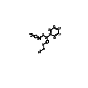 S=C=NCC(OCCI)c1ccccc1